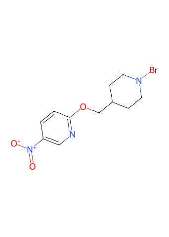 O=[N+]([O-])c1ccc(OCC2CCN(Br)CC2)nc1